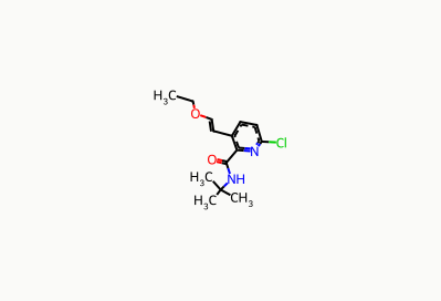 CCO/C=C/c1ccc(Cl)nc1C(=O)NC(C)(C)C